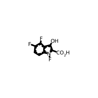 O=C(O)c1c(O)c2c(F)c(F)ccc2n1F